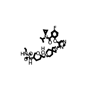 CCNS(=O)(=O)N[C@@H]1CC[C@](O)(CN2CCC3(CC2)CN(c2ncncc2Oc2ccc(F)cc2C(=O)N(C(C)C)C2CC2)C3)OC1